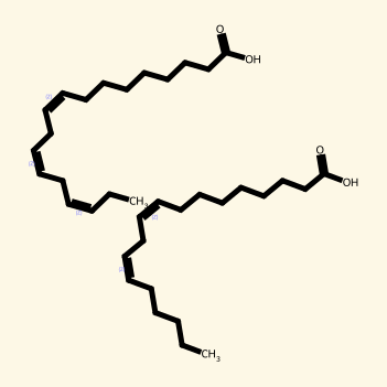 CC/C=C\C/C=C\C/C=C\CCCCCCCC(=O)O.CCCCC/C=C\C/C=C\CCCCCCCC(=O)O